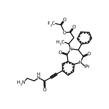 CC(C)N1C(=O)C(c2ccccc2)N(C(C)CC(=O)OC(=O)C(F)(F)F)C(=O)c2cc(C#CC(=O)NCCN)ccc21